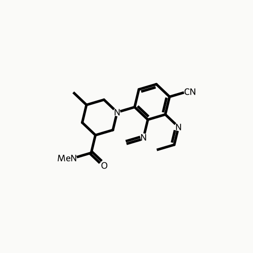 C=Nc1c(N2CC(C)CC(C(=O)NC)C2)ccc(C#N)c1/N=C\C